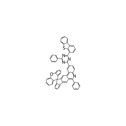 c1ccc(-c2nc(-c3ccc4nc(-c5ccccc5)c5cc6c(cc5c4c3)C3(c4ccccc4Oc4ccccc43)c3ccccc3-6)nc(-c3cccc4c3sc3ccccc34)n2)cc1